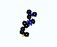 c1ccc(-n2c3ccccc3c3ccc(-c4nc(-c5ccc(-c6ccc7ccc8sc9ccccc9c8c7c6)c6ccccc56)nc5ccccc45)cc32)cc1